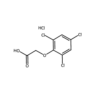 Cl.O=C(O)COc1c(Cl)cc(Cl)cc1Cl